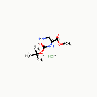 COC(=O)C(CN)NC(=O)OC(C)(C)C.Cl